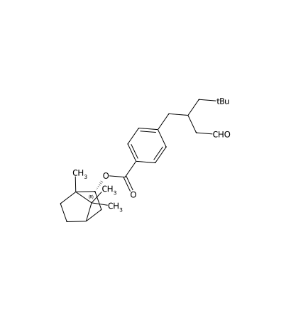 CC(C)(C)CC(CC=O)Cc1ccc(C(=O)O[C@@H]2CC3CCC2(C)C3(C)C)cc1